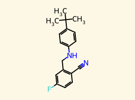 CC(C)(C)c1ccc(NCc2cc(F)ccc2C#N)cc1